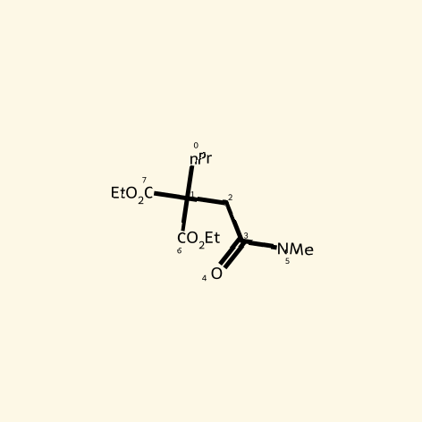 CCCC(CC(=O)NC)(C(=O)OCC)C(=O)OCC